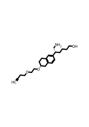 C#CCCOCCO[C@@H]1CCc2cc([C@H](CN)CCCCO)ccc2C1